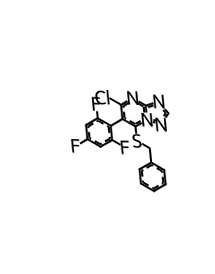 Fc1cc(F)c(-c2c(Cl)nc3ncnn3c2SCc2ccccc2)c(F)c1